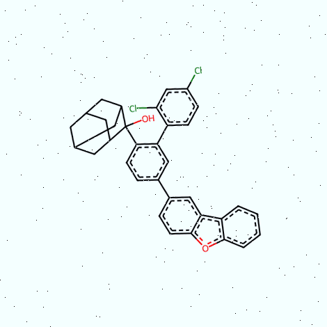 OC1(c2ccc(-c3ccc4oc5ccccc5c4c3)cc2-c2ccc(Cl)cc2Cl)C2CC3CC(C2)CC1C3